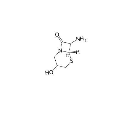 NC1C(=O)N2CC(O)CS[C@@H]12